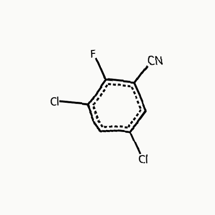 N#Cc1cc(Cl)cc(Cl)c1F